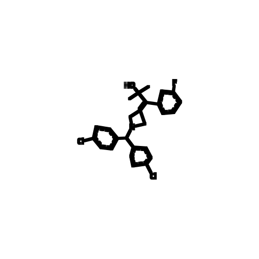 CC(C)(O)C(=C1CN(C(c2ccc(Cl)cc2)c2ccc(Cl)cc2)C1)c1cccc(F)c1